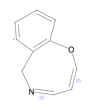 [c]1cccc2c1C/N=C\C=C/O2